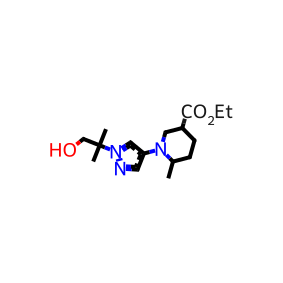 CCOC(=O)C1CCC(C)N(c2cnn(C(C)(C)CO)c2)C1